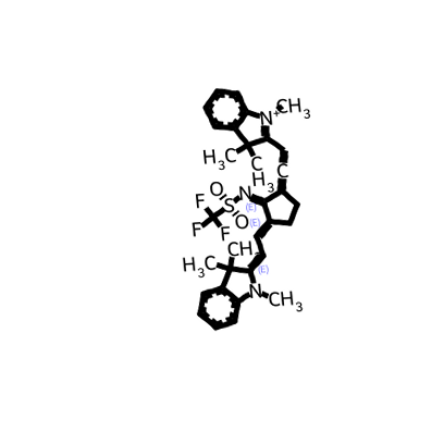 CN1/C(=C/C=C2\CCC(=C=CC3=[N+](C)c4ccccc4C3(C)C)\C2=N\S(=O)(=O)C(F)(F)F)C(C)(C)c2ccccc21